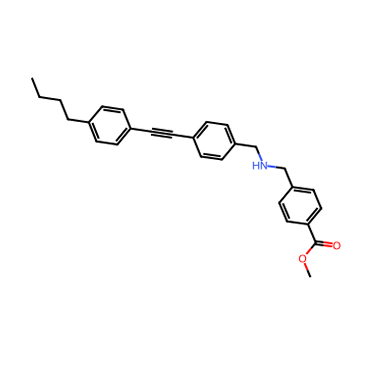 CCCCc1ccc(C#Cc2ccc(CNCc3ccc(C(=O)OC)cc3)cc2)cc1